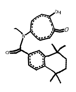 CN(C(=O)c1ccc2c(c1)C(C)(C)CCC2(C)C)c1ccc(O)c(=O)cc1